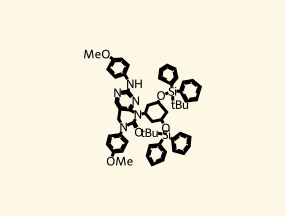 COc1ccc(Nc2ncc3c(n2)N(C2CC(O[Si](c4ccccc4)(c4ccccc4)C(C)(C)C)CC(O[Si](c4ccccc4)(c4ccccc4)C(C)(C)C)C2)C(=O)N(c2ccc(OC)cc2)C3)cc1